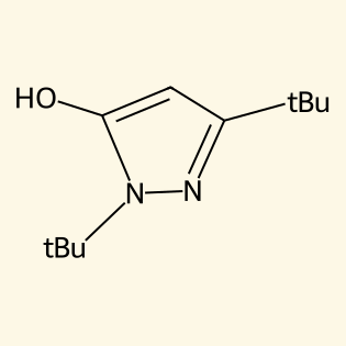 CC(C)(C)c1cc(O)n(C(C)(C)C)n1